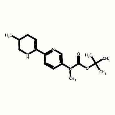 CC1CC=C(c2ccc(N(C)C(=O)OC(C)(C)C)cn2)NC1